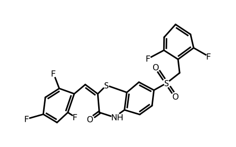 O=C1Nc2ccc(S(=O)(=O)Cc3c(F)cccc3F)cc2S/C1=C/c1c(F)cc(F)cc1F